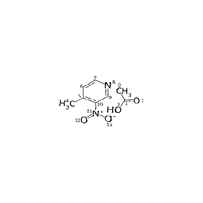 CC(=O)O.Cc1ccncc1[N+](=O)[O-]